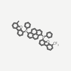 Cc1cccc2c1oc1c(N(c3ccccc3)c3ccc4ccc5c(N(c6ccccc6)c6cccc7c6oc6c(C(F)(F)F)cccc67)ccc6ccc3c4c65)cccc12